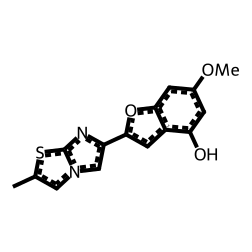 COc1cc(O)c2cc(-c3cn4cc(C)sc4n3)oc2c1